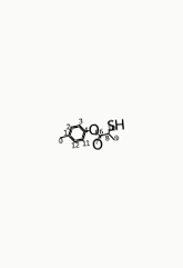 Cc1ccc(OC(=O)C(C)S)cc1